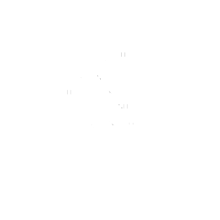 O=C(NC1C[C@H]2CC[C@@H](C1)N2C1CCOCC1)c1ccccc1